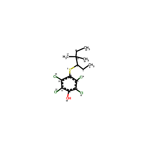 CCC(Sc1c(Cl)c(Cl)c(O)c(Cl)c1Cl)C(C)(C)CC